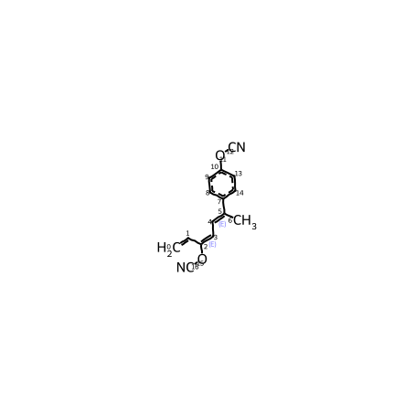 C=C/C(=C\C=C(/C)c1ccc(OC#N)cc1)OC#N